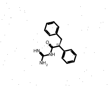 N=C(N)NC(=O)[C@@H](Cc1ccccc1)c1ccccc1